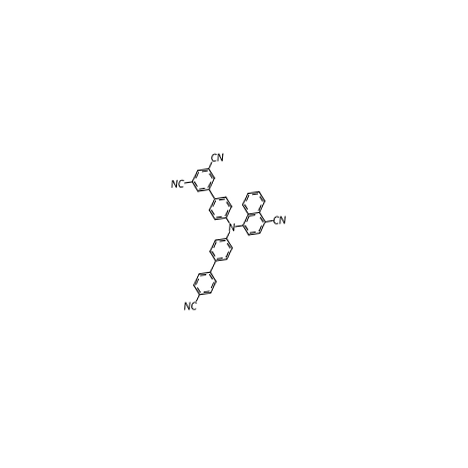 N#Cc1ccc(-c2ccc(N(c3ccc(-c4cc(C#N)cc(C#N)c4)cc3)c3ccc(C#N)c4ccccc34)cc2)cc1